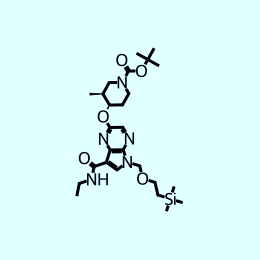 CCNC(=O)c1cn(COCC[Si](C)(C)C)c2ncc(O[C@H]3CCN(C(=O)OC(C)(C)C)C[C@@H]3C)nc12